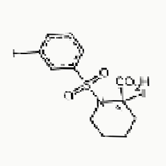 O=C(O)[C@@]1(I)CCCCN1S(=O)(=O)c1cccc(F)c1